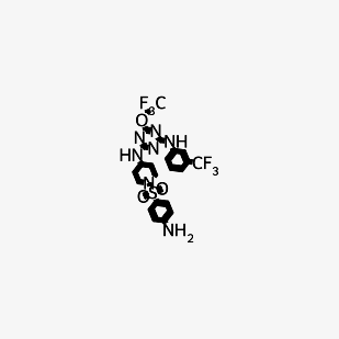 Nc1ccc(S(=O)(=O)N2CCC(Nc3nc(Nc4cccc(C(F)(F)F)c4)nc(OCC(F)(F)F)n3)CC2)cc1